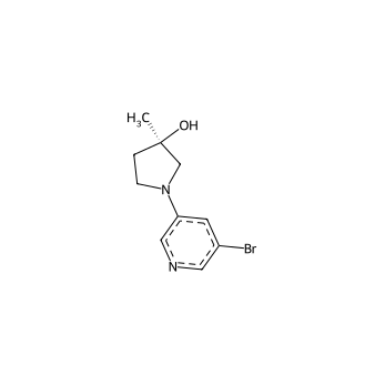 C[C@@]1(O)CCN(c2cncc(Br)c2)C1